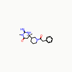 CN1C(=N)N[C@](C)(C2CCCN(C(=O)Cc3ccccc3)C2)CC1=O